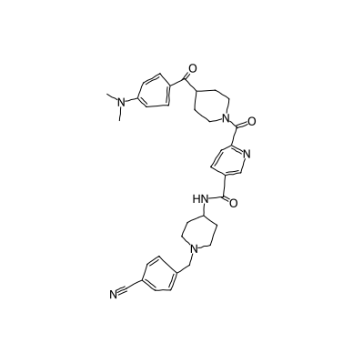 CN(C)c1ccc(C(=O)C2CCN(C(=O)c3ccc(C(=O)NC4CCN(Cc5ccc(C#N)cc5)CC4)cn3)CC2)cc1